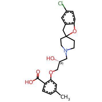 Cc1ccc(C(=O)O)c(OC[C@H](O)CN2CCC3(CC2)Cc2cc(Cl)ccc2O3)c1